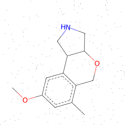 COc1cc(C)c2c(c1)C1CNCC1OC2